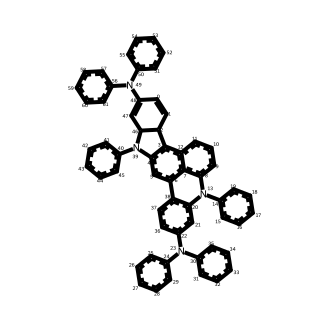 C1=CC2c3c(cc4c5c(cccc35)N(c3ccccc3)c3cc(N(c5ccccc5)c5ccccc5)ccc3-4)N(c3ccccc3)C2C=C1N(c1ccccc1)c1ccccc1